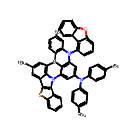 CC(C)(C)c1ccc(N(c2ccc(C(C)(C)C)cc2)c2cc3c4c(c2)-n2c5c(cc(C(C)(C)C)cc5c5sc6ccccc6c52)B4c2ccc(C(C)(C)C)cc2N3c2cccc3oc4ccccc4c23)cc1